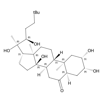 CC(C)(C)CC[C@@H](O)[C@](C)(O)[C@H]1CC[C@@]2(O)[C@@H]3CC(=O)[C@@H]4C[C@@H](O)[C@@H](O)C[C@]4(C)[C@H]3CC[C@]12C